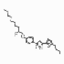 CCCCCCCCC(F)COc1ccc(-c2cc(-c3ccc(CCCC)s3)no2)cc1